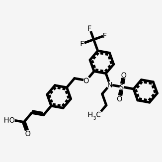 CCCN(c1ccc(C(F)(F)F)cc1OCc1ccc(C=CC(=O)O)cc1)S(=O)(=O)c1ccccc1